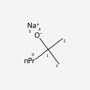 CCCC(C)(C)[O-].[Na+]